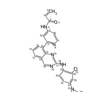 C=CC(=O)Nc1ccnc(-c2cccc3cnc(Nc4ccc(N5CCNCC5)cc4Cl)nc23)c1